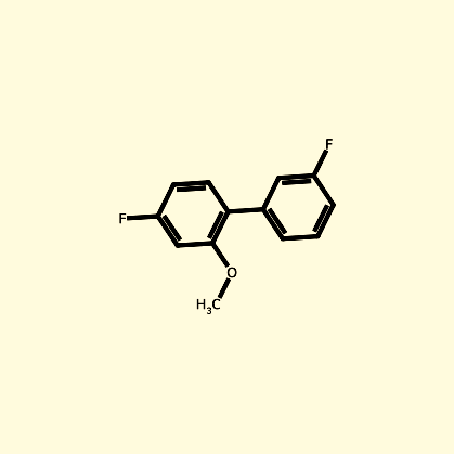 COc1cc(F)ccc1-c1cccc(F)c1